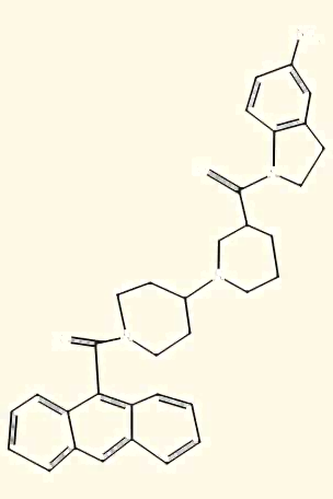 O=C(c1c2ccccc2cc2ccccc12)N1CCC(N2CCCC(C(=O)N3CCc4cc([N+](=O)[O-])ccc43)C2)CC1